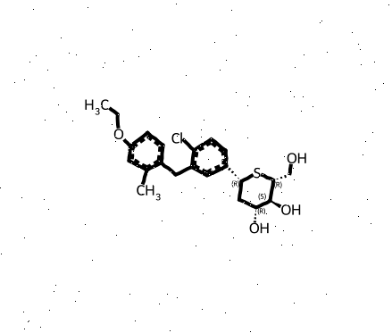 CCOc1ccc(Cc2cc([C@H]3C[C@@H](O)[C@H](O)[C@@H](CO)S3)ccc2Cl)c(C)c1